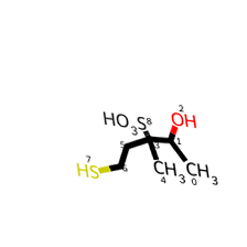 CC(O)C(C)(CCS)S(=O)(=O)O